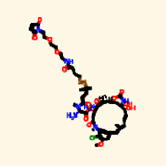 COc1cc2cc(c1Cl)N(C)C(=O)C[C@H](OC(=O)[C@H](N)N(C)C(=O)CCC(C)(C)SSCCCC(=O)NCCOCCOCCN1C(=O)C=CC1=O)[C@]1(N)O[C@H]1[C@H](C)[C@@H]1C[C@@](O)(NC(=O)O1)[C@H](O)/C=C/C=C(\C)C2